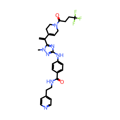 C=C(C1=CCN(C(=O)CCC(F)(F)F)CC1)c1nc(Nc2ccc(C(=O)NCCc3ccncc3)cc2)nn1C